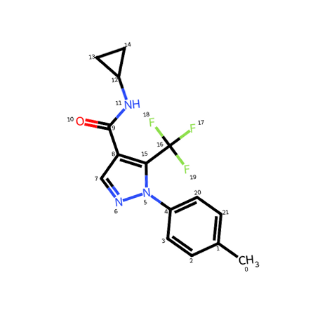 Cc1ccc(-n2ncc(C(=O)NC3CC3)c2C(F)(F)F)cc1